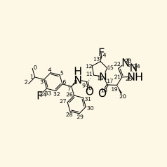 CC(C)c1ccc([C@@H](NC(=O)[C@@H]2C[C@@H](F)CN2C(=O)[C@H](C)c2cnn[nH]2)c2ccccc2)cc1F